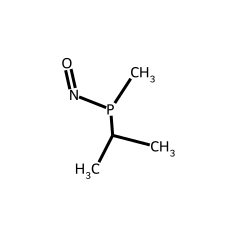 CC(C)P(C)N=O